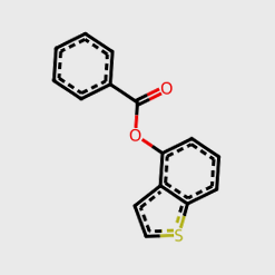 O=C(Oc1cccc2sccc12)c1ccccc1